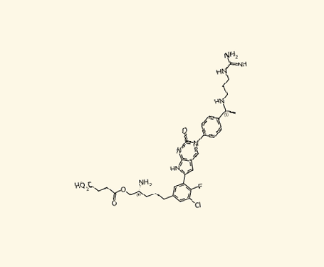 C[C@H](NCCCNC(=N)N)c1ccc(-n2cc3cc(-c4cc(CCC[C@@H](N)COC(=O)CCC(=O)O)cc(Cl)c4F)[nH]c3nc2=O)cc1